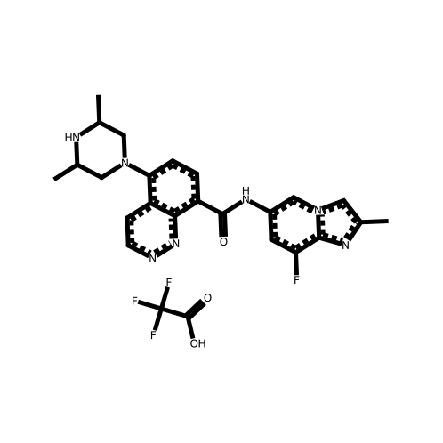 Cc1cn2cc(NC(=O)c3ccc(N4CC(C)NC(C)C4)c4ccnnc34)cc(F)c2n1.O=C(O)C(F)(F)F